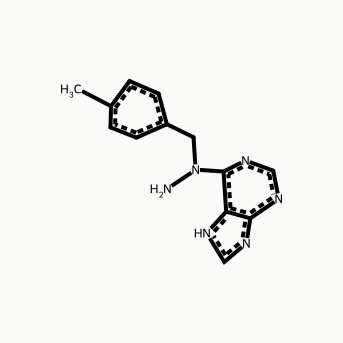 Cc1ccc(CN(N)c2ncnc3nc[nH]c23)cc1